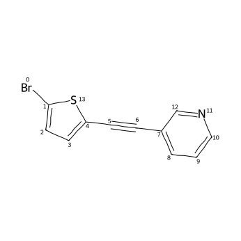 Brc1ccc(C#Cc2cccnc2)s1